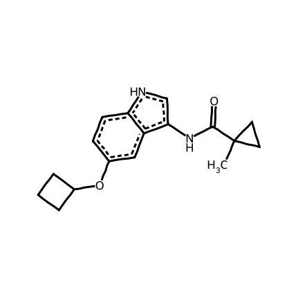 CC1(C(=O)Nc2c[nH]c3ccc(OC4CCC4)cc23)CC1